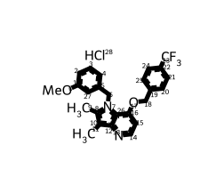 COc1cccc(Cn2c(C)c(C)c3nccc(OCc4ccc(C(F)(F)F)cc4)c32)c1.Cl